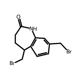 O=C1CCC(CBr)c2ccc(CBr)cc2N1